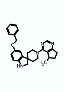 CC1CCc2ncnc(N3CCC4(CC3)CNc3ccc(OCc5ccccc5)cc34)c21